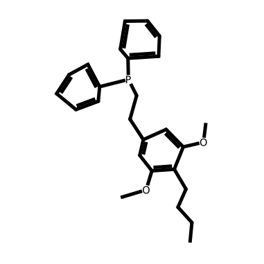 CCCCc1c(OC)cc(CCP(c2ccccc2)c2ccccc2)cc1OC